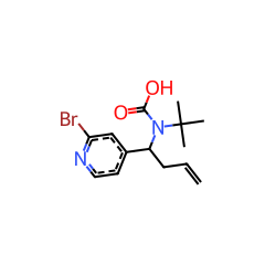 C=CCC(c1ccnc(Br)c1)N(C(=O)O)C(C)(C)C